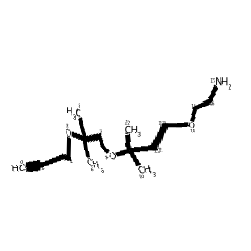 C#CCOC(C)(C)COC(C)(C)CCOCCN